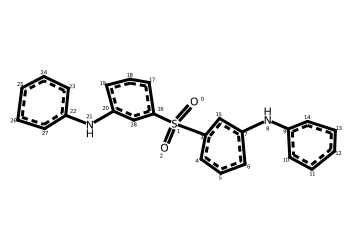 O=S(=O)(c1cccc(Nc2ccccc2)c1)c1cccc(Nc2ccccc2)c1